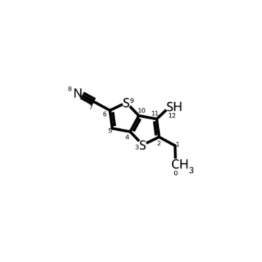 CCc1sc2cc(C#N)sc2c1S